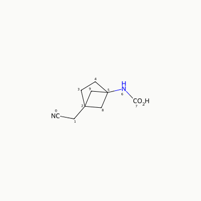 N#CCC12CCC(NC(=O)O)(C1)C2